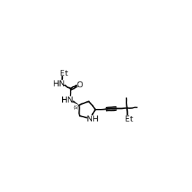 CCNC(=O)N[C@@H]1CNC(C#CC(C)(C)CC)C1